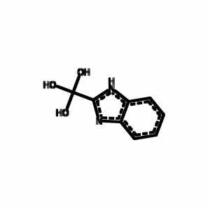 OC(O)(O)c1nc2ccccc2[nH]1